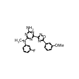 COc1cccc(-c2nc(-c3nc(N)nc(N(C)c4cccc(F)c4)n3)no2)c1